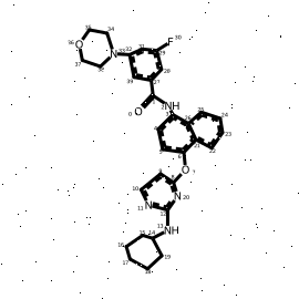 O=C(Nc1ccc(Oc2ccnc(NC3CCCCC3)n2)c2ccccc12)c1cc(F)cc(N2CCOCC2)c1